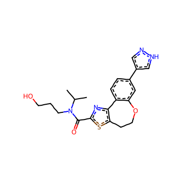 CC(C)N(CCCO)C(=O)c1nc2c(s1)CCOc1cc(-c3cn[nH]c3)ccc1-2